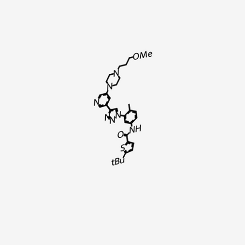 COCCCN1CCN(c2cncc(-c3cn(-c4cc(NC(=O)c5ccc(C(C)(C)C)s5)ccc4C)nn3)c2)CC1